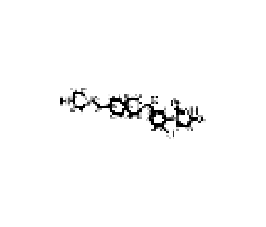 O=C(c1ccc(Cl)c(-n2ccc(=O)[nH]c2=O)c1)N1CCC2(CCC(CCN3CCNCC3)CC2)CC1